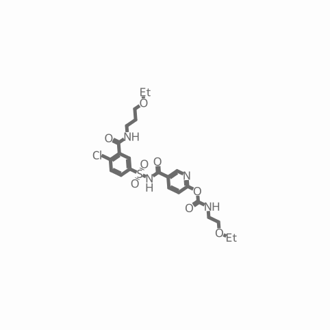 CCOCCCNC(=O)c1cc(S(=O)(=O)NC(=O)c2ccc(OC(=O)NCCOCC)nc2)ccc1Cl